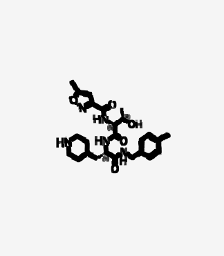 Cc1ccc(CNC(=O)[C@H](CC2CCNCC2)NC(=O)[C@@H](NC(=O)c2cc(C)on2)[C@@H](C)O)cc1